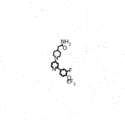 NC(=O)CC1CCN(c2ccnc(-c3ccc(OC(F)(F)F)c(F)c3)c2)CC1